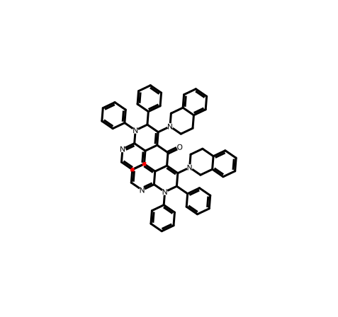 O=C(C1=C(N2CCc3ccccc3C2)C(c2ccccc2)N(c2ccccc2)c2ncccc21)C1=C(N2CCc3ccccc3C2)C(c2ccccc2)N(c2ccccc2)c2ncccc21